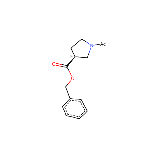 CC(=O)N1CC[C@H](C(=O)OCc2ccccc2)C1